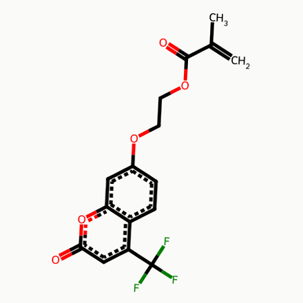 C=C(C)C(=O)OCCOc1ccc2c(C(F)(F)F)cc(=O)oc2c1